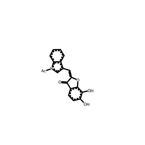 CC(=O)n1cc(C=C2Oc3c(ccc(O)c3O)C2=O)c2ccccc21